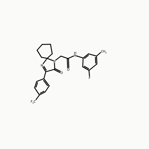 Cc1cc(F)cc(NC(=O)CN2C(=O)C(c3ccc(C(F)(F)F)cc3)=NC23CCCCC3)c1